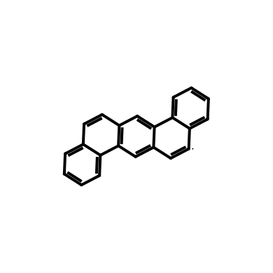 [c]1cc2cc3c(ccc4ccccc43)cc2c2ccccc12